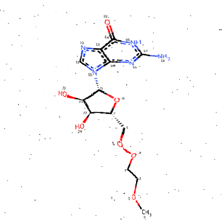 COCCOOC[C@H]1O[C@@H](n2cnc3c(=O)[nH]c(N)nc32)[C@H](O)[C@@H]1O